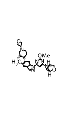 COc1nc(N2C[C@H]3C[C@@H]2CO3)cc(-n2ncc3cc(C)c([C@H]4CCN(C5COC5)C[C@H]4F)cc32)n1